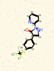 O=c1c(-c2ccc(SC(F)(F)F)cc2)c[nH]n1-c1ccccn1